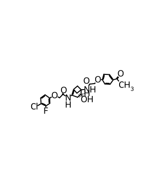 CC(=O)c1ccc(OCC(=O)NC23CC(=C(NC(=O)COc4ccc(Cl)c(F)c4)C[C@@H]2O)C3)cc1